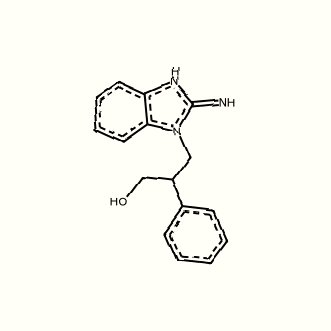 N=c1[nH]c2ccccc2n1CC(CO)c1ccccc1